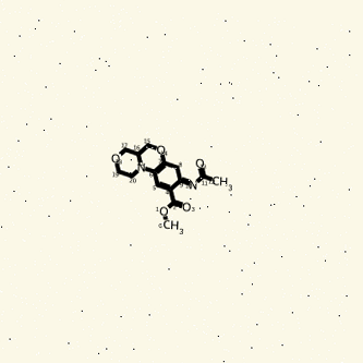 COC(=O)C1=CC2=C(CC1=NC(C)=O)OCC1COCCN21